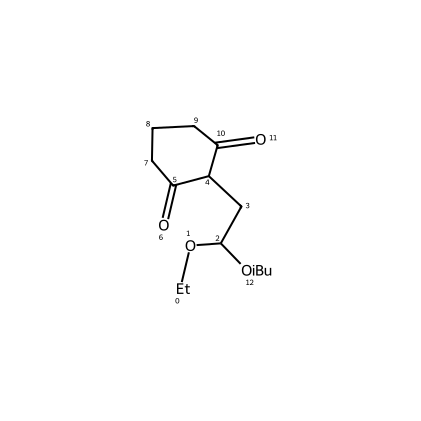 CCOC(CC1C(=O)CCCC1=O)OCC(C)C